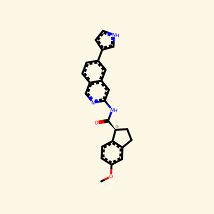 COc1ccc2c(c1)CC[C@@H]2C(=O)Nc1cc2cc(-c3cc[nH]c3)ccc2cn1